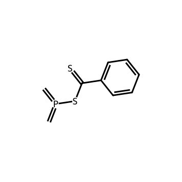 C=P(=C)SC(=S)c1ccccc1